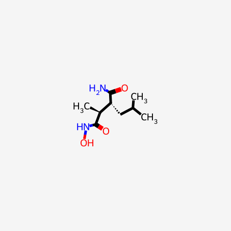 CC(C)C[C@@H](C(N)=O)[C@H](C)C(=O)NO